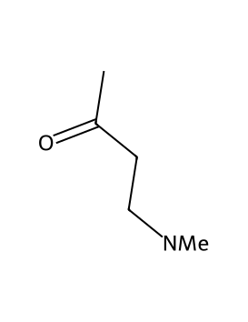 [CH2]NCCC(C)=O